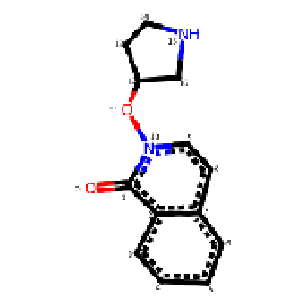 O=c1c2ccccc2ccn1OC1CCNC1